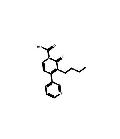 CCCCc1c(-c2cccnc2)ccn(C(=O)O)c1=O